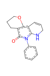 O=c1c2c(c3c(n1-c1ccccc1)NCC=C3)OCCC2